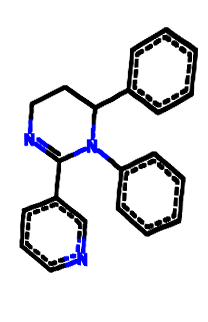 c1ccc(C2CCN=C(c3cccnc3)N2c2ccccc2)cc1